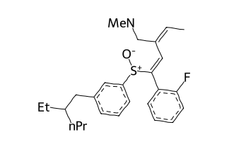 C/C=C(\C=C(\c1ccccc1F)[S+]([O-])c1cccc(CC(CC)CCC)c1)CNC